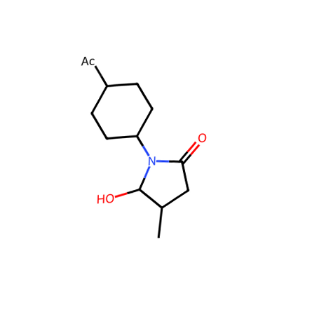 CC(=O)C1CCC(N2C(=O)CC(C)C2O)CC1